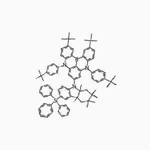 CC(C)(C)c1ccc(N2c3ccc(C(C)(C)C)cc3B3c4cc(C(C)(C)C)ccc4N(c4ccc(C(C)(C)C)cc4)c4cc(N5c6ccc([Si](c7ccccc7)(c7ccccc7)c7ccccc7)cc6C6(C)CC(C)(C)C(C)(C)CC56C)cc2c43)cc1